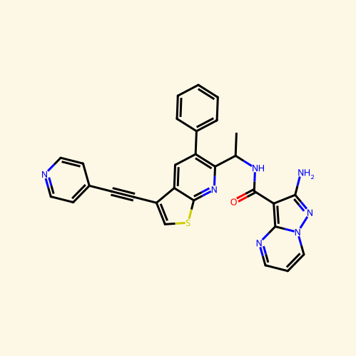 CC(NC(=O)c1c(N)nn2cccnc12)c1nc2scc(C#Cc3ccncc3)c2cc1-c1ccccc1